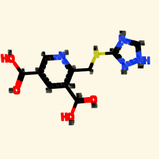 O=C(O)c1cnc(CSc2nc[nH]n2)c(C(=O)O)c1